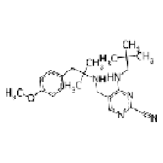 COc1ccc(CC(C)(C)NCc2cnc(C#N)nc2NCC(C)(C)C)cc1